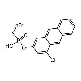 CCCSP(=O)(O)Oc1cc(Cl)c2cc3ccccc3cc2c1